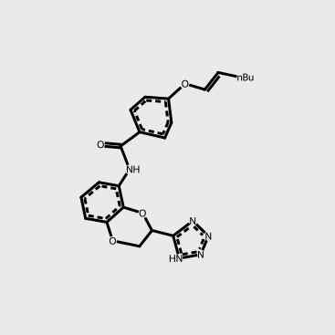 CCCCC=COc1ccc(C(=O)Nc2cccc3c2OC(c2nnn[nH]2)CO3)cc1